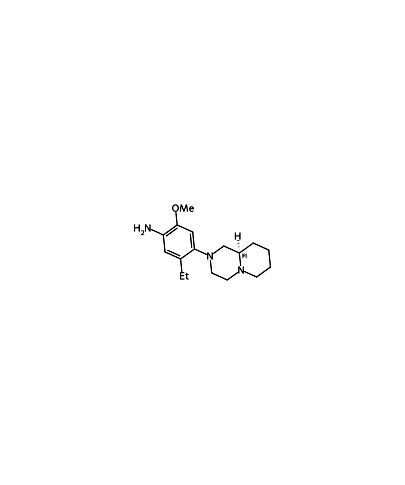 CCc1cc(N)c(OC)cc1N1CCN2CCCC[C@@H]2C1